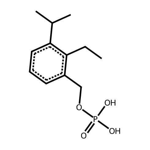 CCc1c(COP(=O)(O)O)cccc1C(C)C